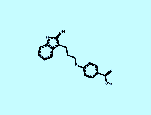 COC(=O)c1ccc(OCCCn2c(=N)[nH]c3ccccc32)cc1